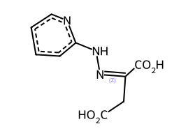 O=C(O)C/C(=N/Nc1ccccn1)C(=O)O